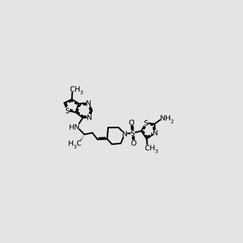 Cc1nc(N)sc1S(=O)(=O)N1CCC(=CC[C@H](C)Nc2ncnc3c(C)csc23)CC1